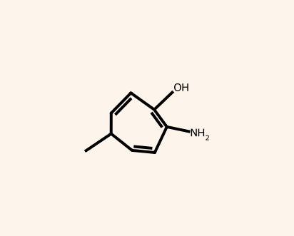 CC1C=CC(N)=C(O)C=C1